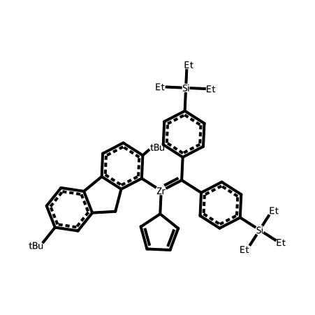 CC[Si](CC)(CC)c1ccc([C](c2ccc([Si](CC)(CC)CC)cc2)=[Zr]([c]2c(C(C)(C)C)ccc3c2Cc2cc(C(C)(C)C)ccc2-3)[CH]2C=CC=C2)cc1